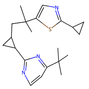 CC(C)(C)c1ccnc(C2CC2CC(C)(C)c2cnc(C3CC3)s2)n1